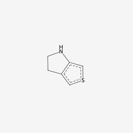 c1scc2c1CCN2